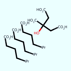 CC(C)CCCC(=O)O.CC(C)CCCC(=O)O.CC(C)CCCC(=O)O.O=C(O)CC(O)(CC(=O)O)C(=O)O